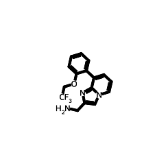 NCc1cn2cccc(-c3ccccc3OCC(F)(F)F)c2n1